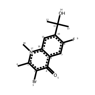 Cc1c(Br)c(=O)c2cc(F)c(C(C)(C)O)cc2n1C